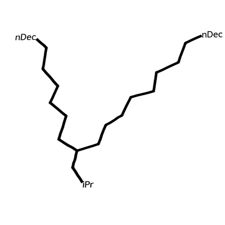 [CH2]C(C)CC(CCCCCCCCCCCCCCCC)CCCCCCCCCCCCCCCCCC